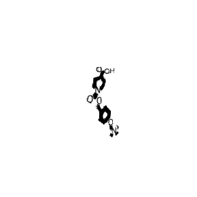 C[N+](C)(C)COc1ccc(COC(=O)N2CCC(C(=O)O)CC2)cc1